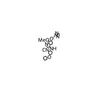 COc1c(OCCn2nccn2)ccc2c(Nc3ccc(Oc4ccccc4)cc3)c(C#N)cnc12